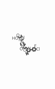 Cc1ncc(N2CCN(C(=O)c3cc4nc(-c5ccc(Cl)c(F)c5)cc(C(C)(C)C)c4o3)C(C)(C)C2)nc1C(=O)O